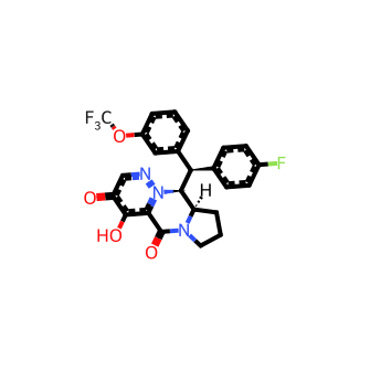 O=C1c2c(O)c(=O)cnn2[C@@H]([C@H](c2ccc(F)cc2)c2cccc(OC(F)(F)F)c2)[C@H]2CCCN12